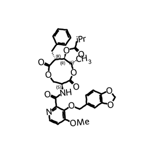 COc1ccnc(C(=O)N[C@H]2COC(=O)[C@H](Cc3ccccc3)[C@@H](OC(=O)C(C)C)[C@H](C)OC2=O)c1OCc1ccc2c(c1)OCO2